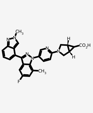 Cc1cc(F)cc2c(-c3cccc4nn(C)cc34)nn(-c3ccc(N4C[C@@H]5C(C(=O)O)[C@@H]5C4)nc3)c12